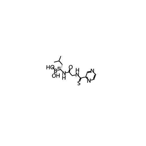 CC(C)C[C@H](NC(=O)CNC(=S)c1cnccn1)B(O)O